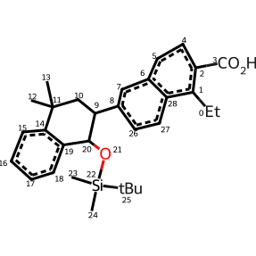 CCc1c(C(=O)O)ccc2cc(C3CC(C)(C)c4ccccc4C3O[Si](C)(C)C(C)(C)C)ccc12